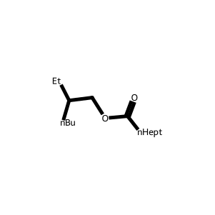 CCCCCCCC(=O)OCC(CC)CCCC